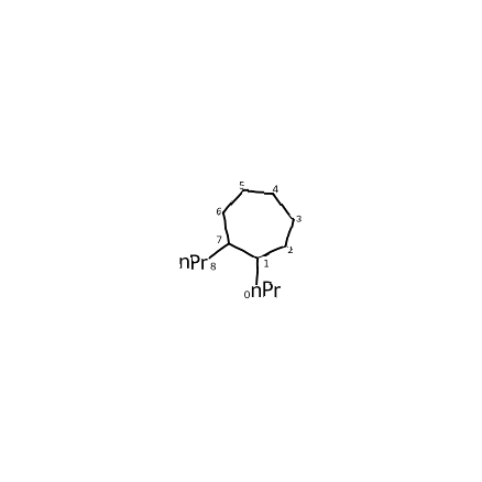 CCCC1CCCCCC1CCC